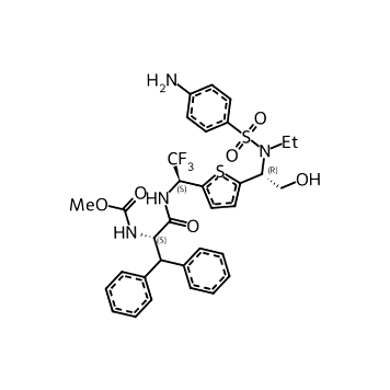 CCN([C@H](CO)c1ccc([C@@H](NC(=O)[C@@H](NC(=O)OC)C(c2ccccc2)c2ccccc2)C(F)(F)F)s1)S(=O)(=O)c1ccc(N)cc1